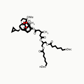 CCCCCCCCCCCCCCCC(=O)OCC(COC(=O)CCCCCCCCCCCCCCC)OC(=O)CC(C)CC(=O)Oc1ccc2c3c1O[C@H]1[C@]4(OC)CC[C@@]5(C[C@@H]4[C@](C)(O)C(C)(C)C)C(C2)N(CC2CC2)CC[C@]315